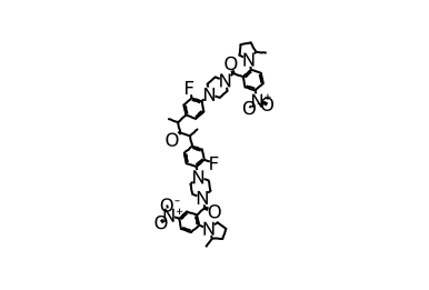 CC(C(=O)C(C)c1ccc(N2CCN(C(=O)c3cc([N+](=O)[O-])ccc3N3CCCC3C)CC2)c(F)c1)c1ccc(N2CCN(C(=O)c3cc([N+](=O)[O-])ccc3N3CCCC3C)CC2)c(F)c1